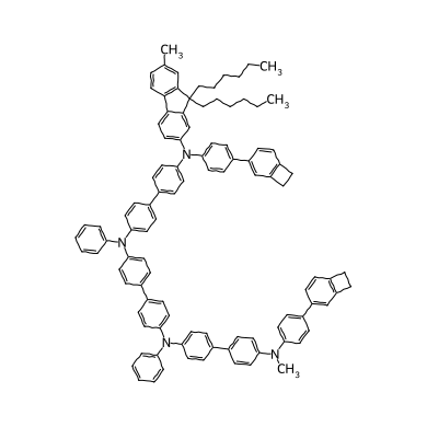 CCCCCCC1(CCCCCC)c2cc(C)ccc2-c2ccc(N(c3ccc(-c4ccc(N(c5ccccc5)c5ccc(-c6ccc(N(c7ccccc7)c7ccc(-c8ccc(N(C)c9ccc(-c%10ccc%11c(c%10)CC%11)cc9)cc8)cc7)cc6)cc5)cc4)cc3)c3ccc(-c4ccc5c(c4)CC5)cc3)cc21